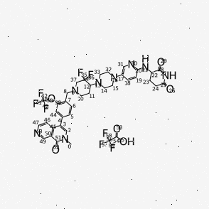 Cn1cc(-c2ccc(CN3CCC(N4CCN(c5ccc(NC6CCC(=O)NC6=O)nc5)CC4)C(F)(F)C3)c(OC(F)(F)F)c2)c2ccncc2c1=O.O=C(O)C(F)(F)F